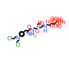 N[C@@H](Cc1ccc(N(CCCl)CCCl)cc1)C(=O)NCC(=O)N(C=O)CC(=O)NCCCCC(O)(P(=O)(O)O)P(=O)(O)O